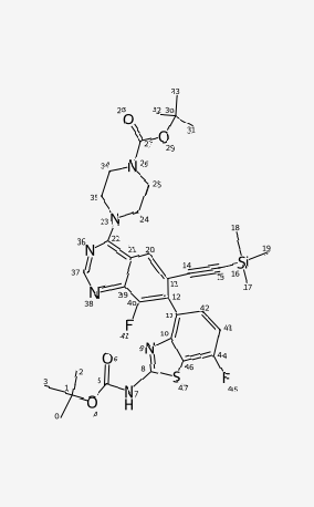 CC(C)(C)OC(=O)Nc1nc2c(-c3c(C#C[Si](C)(C)C)cc4c(N5CCN(C(=O)OC(C)(C)C)CC5)ncnc4c3F)ccc(F)c2s1